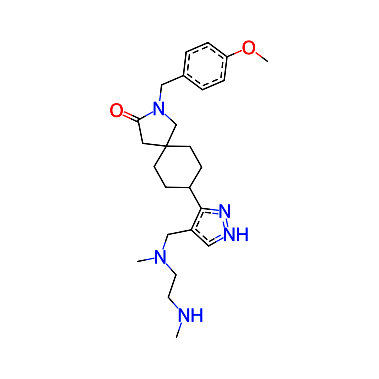 CNCCN(C)Cc1c[nH]nc1C1CCC2(CC1)CC(=O)N(Cc1ccc(OC)cc1)C2